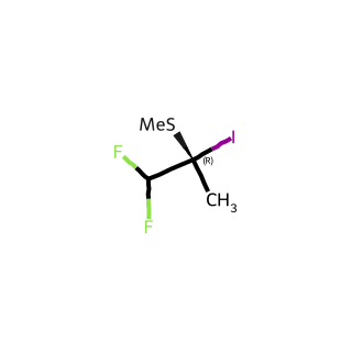 CS[C@](C)(I)C(F)F